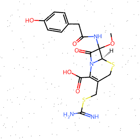 COC1(NC(=O)Cc2ccc(O)cc2)C(=O)N2C(C(=O)O)=C(CSC(=N)N)CS[C@@H]21